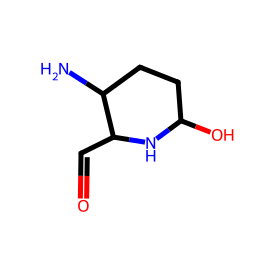 NC1CCC(O)NC1C=O